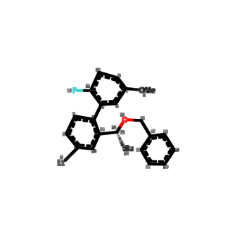 CCc1ccc(-c2cc(OC)ccc2F)c([C@H](OCc2ccccc2)C(C)(C)C)c1